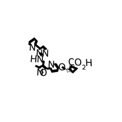 Cc1noc(-c2ccc(OC[C@H]3CC[C@@H]3C(=O)O)cn2)c1CNc1nccc(-c2ccccn2)n1